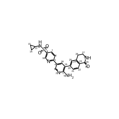 Nc1ncc(-c2ccc(S(=O)(=O)NC3CC3)cn2)cc1-c1ccc2c(c1)CCNC2=O